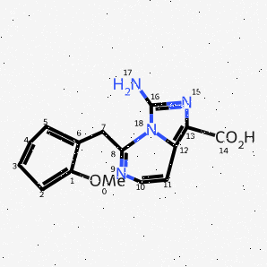 COc1ccccc1Cc1nccc2c(C(=O)O)nc(N)n12